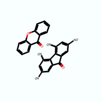 O=Nc1cc(N=O)c2c(c1)C(=O)c1cc(N=O)cc(N=O)c1-2.O=c1c2ccccc2oc2ccccc12